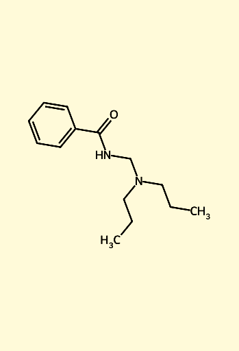 CCCN(CCC)CNC(=O)c1ccccc1